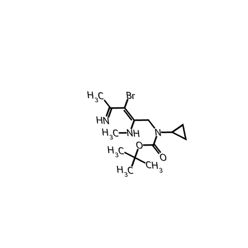 CN/C(CN(C(=O)OC(C)(C)C)C1CC1)=C(/Br)C(C)=N